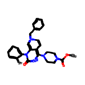 CC(C)c1ccccc1N1C(=O)NC(N2CCN(C(=O)OC(C)(C)C)CC2)=C2C=CN(Cc3ccccc3)C=C21